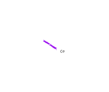 I[I-]I.[Co]